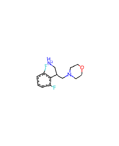 NCC(CN1CCOCC1)c1c(F)cccc1F